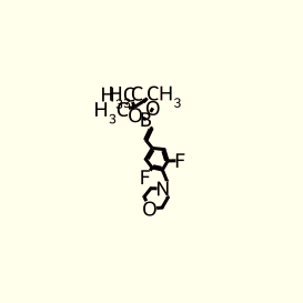 CC1(C)OB(/C=C/c2cc(F)c(CN3CCOCC3)c(F)c2)OC1(C)C